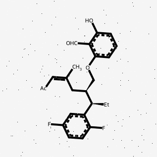 CC[C@@H](c1cc(F)ccc1F)[C@H](COc1cccc(O)c1C=O)C/C(C)=C\C(C)=O